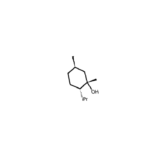 CC(C)[C@@H]1CC[C@@H](C)C[C@]1(C)O